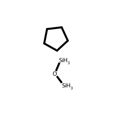 C1CCCC1.[SiH3]O[SiH3]